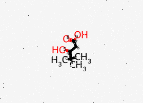 CC(C)(C)C(O)CC(=O)O